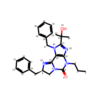 CCCN1C(=O)N2C[C@@H](Cc3ccccc3)N=C2c2c1nc(C(C)(C)O)n2Cc1ccccc1